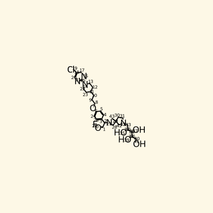 O=CC(c1ccc(OCCCC2CCN(c3ncc(Cl)cn3)CC2)cc1F)N1CC2(CCN(C[C@H](O)[C@H](O)[C@H](O)CO)C2)C1